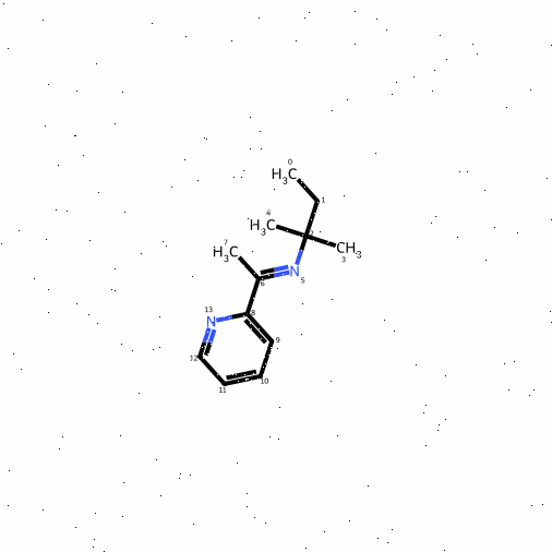 CCC(C)(C)/N=C(\C)c1ccccn1